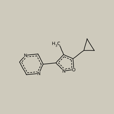 Cc1c(-c2cnccn2)noc1C1CC1